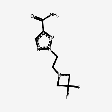 NC(=O)c1cnn(CCN2CC(F)(F)C2)n1